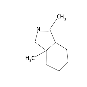 CC1=NCC2(C)CCCCC12